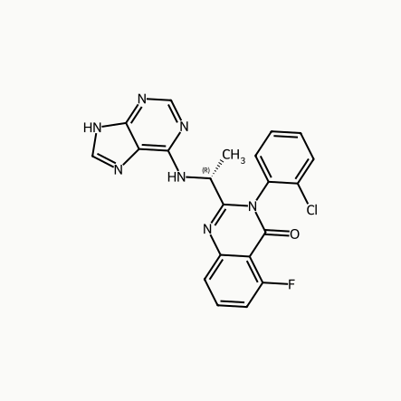 C[C@@H](Nc1ncnc2[nH]cnc12)c1nc2cccc(F)c2c(=O)n1-c1ccccc1Cl